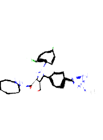 Cn1nnc(-c2ccc(-c3c(CO)c(C(=O)NC4CCCCC4)nn3-c3ccc(Cl)cc3Cl)cc2)n1